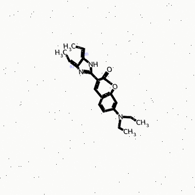 C/C=c1/nc(-c2cc3ccc(N(CC)CC)cc3oc2=O)[nH]/c1=C/C